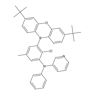 Cc1cc(B2c3ccc(C(C)(C)C)cc3Oc3cc(C(C)(C)C)ccc32)c(Cl)c(N(c2ccccc2)c2cccnc2)c1